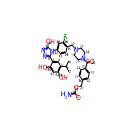 CC(C)c1cc(-c2nnc(O)n2-c2ccc(CN3CCN(C(=O)c4ccc(COC(N)=O)cc4)CC3)c(F)c2)c(O)cc1O